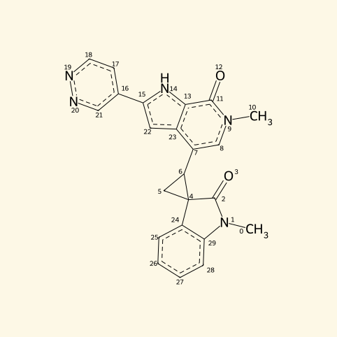 CN1C(=O)C2(CC2c2cn(C)c(=O)c3[nH]c(-c4ccnnc4)cc23)c2ccccc21